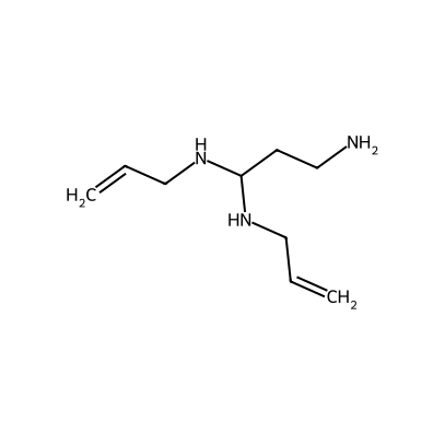 C=CCNC(CCN)NCC=C